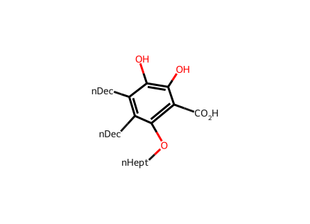 CCCCCCCCCCc1c(O)c(O)c(C(=O)O)c(OCCCCCCC)c1CCCCCCCCCC